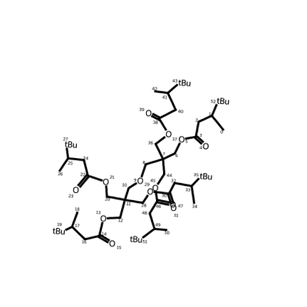 CC(CC(=O)OCC(COCC(COC(=O)CC(C)C(C)(C)C)(COC(=O)CC(C)C(C)(C)C)COC(=O)CC(C)C(C)(C)C)(COC(=O)CC(C)C(C)(C)C)COC(=O)CC(C)C(C)(C)C)C(C)(C)C